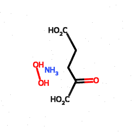 N.O=C(O)CCC(=O)C(=O)O.OO